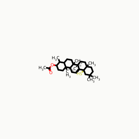 CC(=O)OC1CCC2(C)C(CCC3(C)C2CC=C2C4(S)CC(C)(C)CCC4(C)CC[C@]23C)C1C